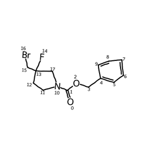 O=C(OCc1ccccc1)N1CCC(F)(CBr)C1